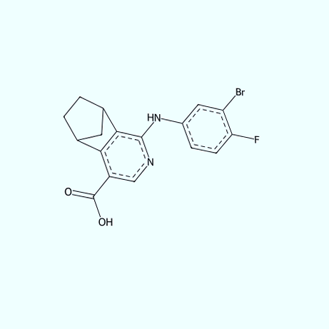 O=C(O)c1cnc(Nc2ccc(F)c(Br)c2)c2c1C1CCC2C1